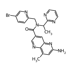 Cc1cc(N)nc2cc(C(=O)N(Cc3ccc(Br)cn3)C(C)c3ncccn3)cnc12